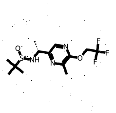 Cc1nc([C@@H](C)N[S+]([O-])C(C)(C)C)cnc1OCC(F)(F)F